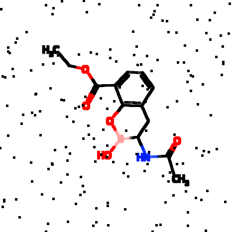 CCOC(=O)c1cccc2c1OB(O)C(NC(C)=O)C2